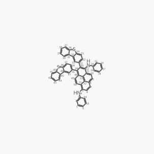 c1ccc(Nc2ccc3ccc4c(Nc5ccccc5)c(-c5ccc6sc7ccccc7c6c5)c(-c5ccc6sc7ccccc7c6c5)c5ccc2c3c45)cc1